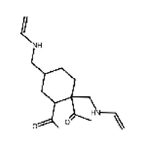 C=CNCC1CCC(CNC=C)(C(C)=O)C(C(C)=O)C1